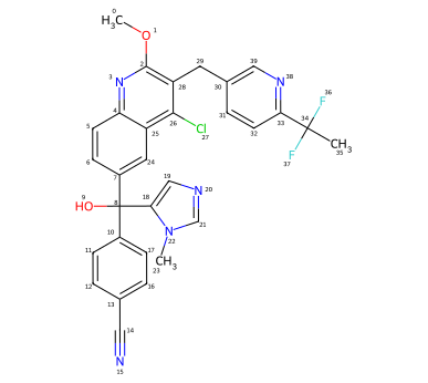 COc1nc2ccc(C(O)(c3ccc(C#N)cc3)c3cncn3C)cc2c(Cl)c1Cc1ccc(C(C)(F)F)nc1